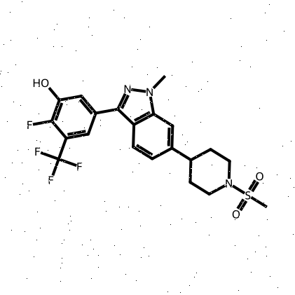 Cn1nc(-c2cc(O)c(F)c(C(F)(F)F)c2)c2ccc(C3CCN(S(C)(=O)=O)CC3)cc21